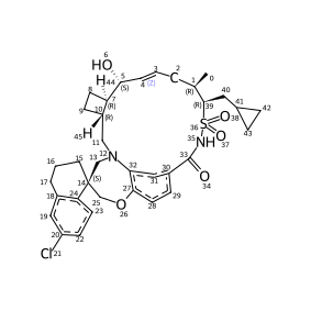 C[C@@H]1C/C=C\[C@@H](O)[C@@H]2CC[C@H]2CN2C[C@@]3(CCCc4cc(Cl)ccc43)COc3ccc(cc32)C(=O)NS(=O)(=O)[C@@H]1CC1CC1